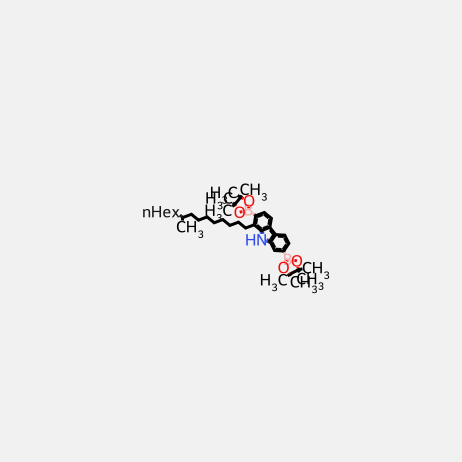 CCCCCCC(C)CCCCCCCCc1c(B2OC(C)(C)C(C)(C)O2)ccc2c1[nH]c1cc(B3OC(C)(C)C(C)(C)O3)ccc12